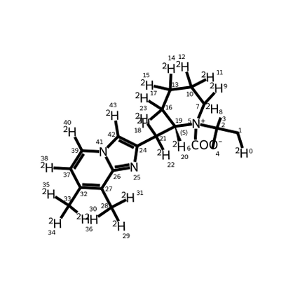 [2H]CC(C)(C)[N+]1(C(=O)[O-])C([2H])([2H])C([2H])([2H])C([2H])([2H])C([2H])([2H])[C@@]1([2H])C([2H])([2H])c1nc2c(C([2H])([2H])[2H])c(C([2H])([2H])[2H])c([2H])c([2H])n2c1[2H]